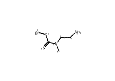 CCSC(=S)N(C)CCN